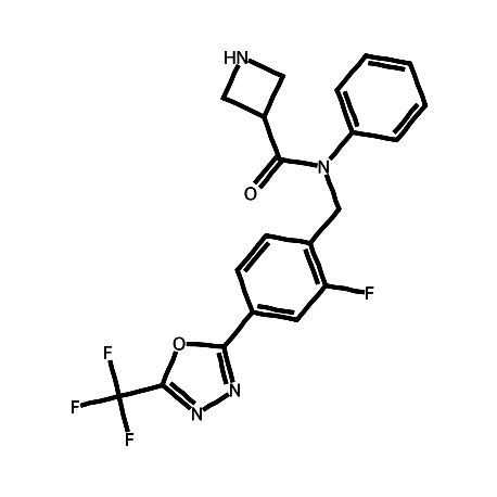 O=C(C1CNC1)N(Cc1ccc(-c2nnc(C(F)(F)F)o2)cc1F)c1ccccc1